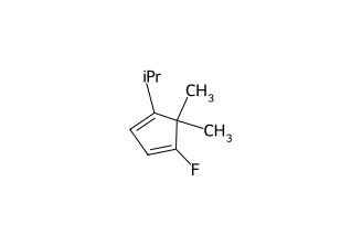 CC(C)C1=CC=C(F)C1(C)C